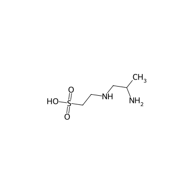 CC(N)CNCCS(=O)(=O)O